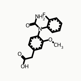 COc1cc(CC(=O)O)ccc1N(C(N)=O)c1ccccc1F